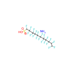 N.O=S(=O)(O)C(F)C(F)(F)C(F)(F)C(F)(F)C(F)(F)C(F)(F)C(F)(F)C(F)(F)C(F)(F)C(F)C(F)F